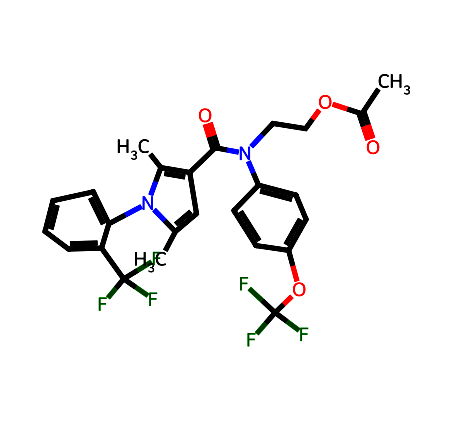 CC(=O)OCCN(C(=O)c1cc(C)n(-c2ccccc2C(F)(F)F)c1C)c1ccc(OC(F)(F)F)cc1